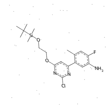 Cc1cc(F)c(N)cc1-c1cc(OCCO[Si](C)(C)C(C)(C)C)nc(Cl)n1